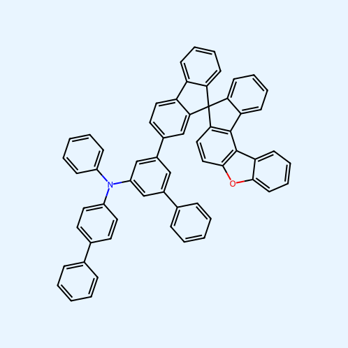 c1ccc(-c2ccc(N(c3ccccc3)c3cc(-c4ccccc4)cc(-c4ccc5c(c4)C4(c6ccccc6-5)c5ccccc5-c5c4ccc4oc6ccccc6c54)c3)cc2)cc1